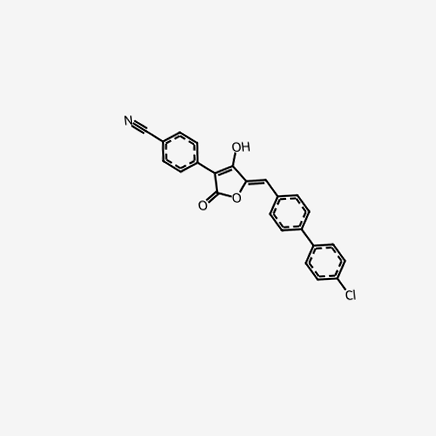 N#Cc1ccc(C2=C(O)C(=Cc3ccc(-c4ccc(Cl)cc4)cc3)OC2=O)cc1